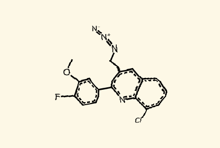 COc1cc(-c2nc3c(Cl)cccc3cc2CN=[N+]=[N-])ccc1F